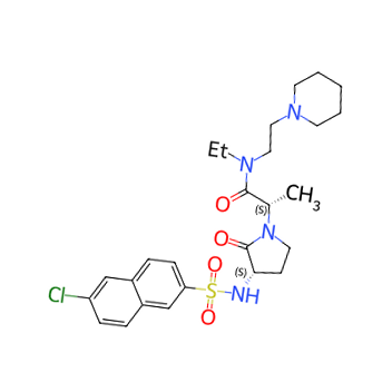 CCN(CCN1CCCCC1)C(=O)[C@H](C)N1CC[C@H](NS(=O)(=O)c2ccc3cc(Cl)ccc3c2)C1=O